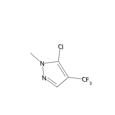 Cn1ncc(C(F)(F)F)c1Cl